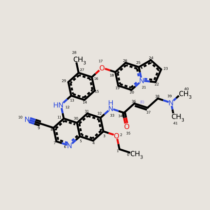 CCOc1cc2ncc(C#N)c(Nc3ccc(Oc4ccn5cccc5c4)c(C)c3)c2cc1NC(=O)/C=C/CN(C)C